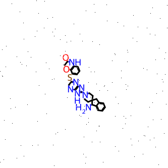 N[C@@H]1c2ccccc2CC12CCN(c1nc3nc(Sc4cccc5c4OCC(=O)N5)cnc3[nH]1)CC2